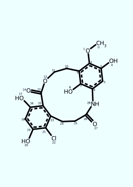 COc1c(O)cc2c(O)c1CCOC(=O)c1c(O)cc(O)c(Cl)c1CCC(=O)N2